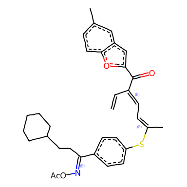 C=C/C(=C\C=C(/C)Sc1ccc(/C(CCC2CCCCC2)=N/OC(C)=O)cc1)C(=O)c1cc2cc(C)ccc2o1